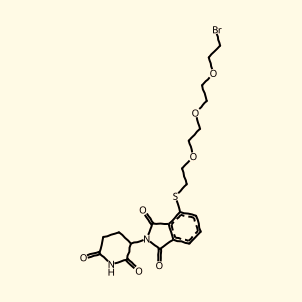 O=C1CCC(N2C(=O)c3cccc(SCCOCCOCCOCCBr)c3C2=O)C(=O)N1